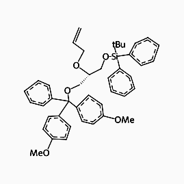 C=CCO[C@@H](COC(c1ccccc1)(c1ccc(OC)cc1)c1ccc(OC)cc1)CO[Si](c1ccccc1)(c1ccccc1)C(C)(C)C